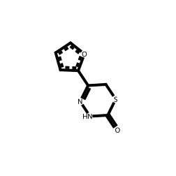 O=C1NN=C(c2ccco2)CS1